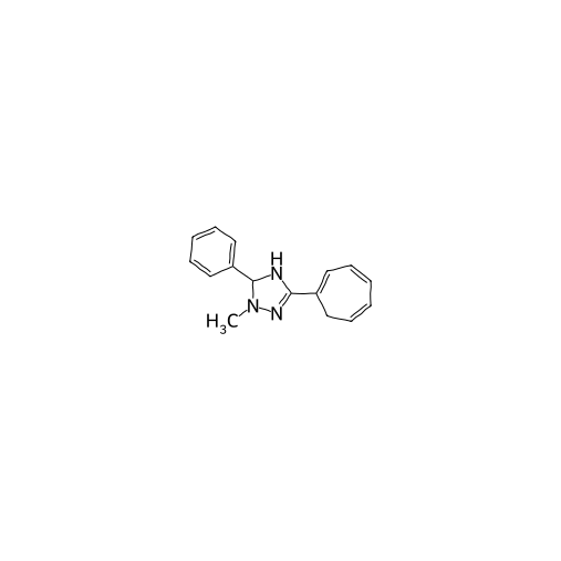 CN1N=C(C2=CC=CC=CC2)NC1c1ccccc1